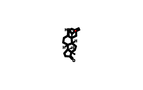 C#CC(O)[C@]12CCCC=C1CC[C@@H]1[C@H]2CC[C@]2(C)C(=O)CC[C@@H]12